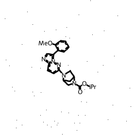 COc1ccccc1-c1cnc2ccc(N3CC4CC3CN4C(=O)OC(C)C)nn12